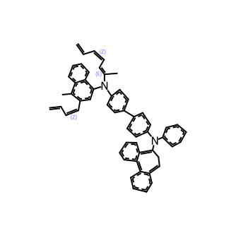 C=C/C=C\C=C(/C)N(c1ccc(-c2ccc(N(C3=c4ccccc4=c4ccccc4=CC3)c3ccccc3)cc2)cc1)c1cc(/C=C\C=C)c(C)c2ccccc12